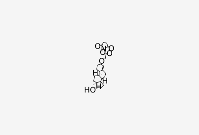 C[C@]12CC[C@H]3[C@@H](CCC4=C[C@@H](OCC(=O)ON5C(=O)CCC5=O)CC[C@@]43C)[C@@H]1CC[C@@H]2O